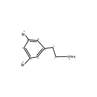 CCCCCCCCc1cc(Br)cc(Br)c1